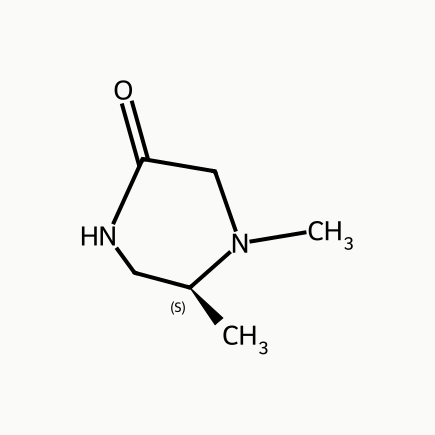 C[C@H]1CNC(=O)CN1C